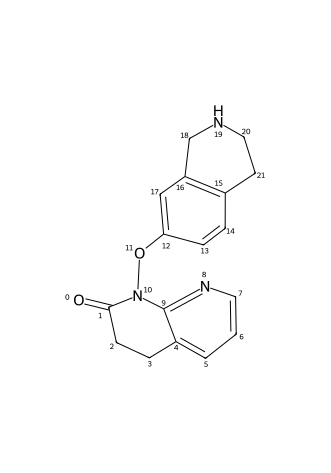 O=C1CCc2cccnc2N1Oc1ccc2c(c1)CNCC2